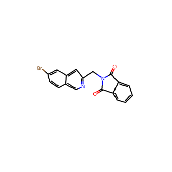 O=C1c2ccccc2C(=O)N1Cc1cc2cc(Br)ccc2cn1